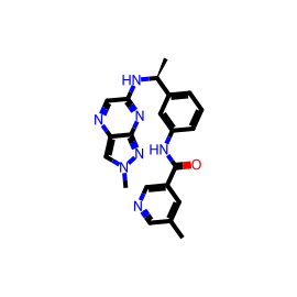 Cc1cncc(C(=O)Nc2cccc([C@H](C)Nc3cnc4cn(C)nc4n3)c2)c1